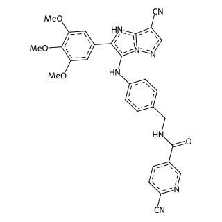 COc1cc(-c2[nH]c3c(C#N)cnn3c2Nc2ccc(CNC(=O)c3ccc(C#N)nc3)cc2)cc(OC)c1OC